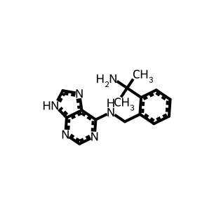 CC(C)(N)c1ccccc1CNc1ncnc2[nH]cnc12